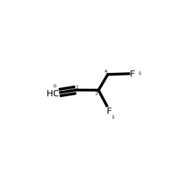 C#CC(F)CF